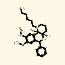 CCCCCCN1CCC[C@@H]2OC(c3ccccc3)c3cc(OC)c(OC)cc3[C@@H]21